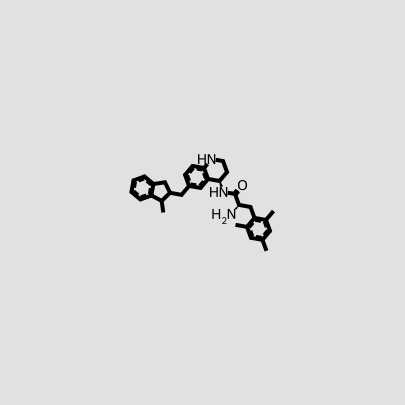 Cc1cc(C)c(C[C@H](N)C(=O)N[C@@H]2CCNc3ccc(CC4Cc5ccccc5C4C)cc32)c(C)c1